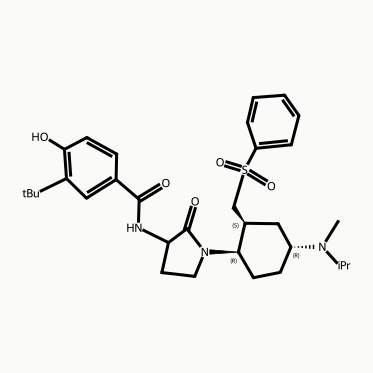 CC(C)N(C)[C@@H]1CC[C@@H](N2CCC(NC(=O)c3ccc(O)c(C(C)(C)C)c3)C2=O)[C@@H](CS(=O)(=O)c2ccccc2)C1